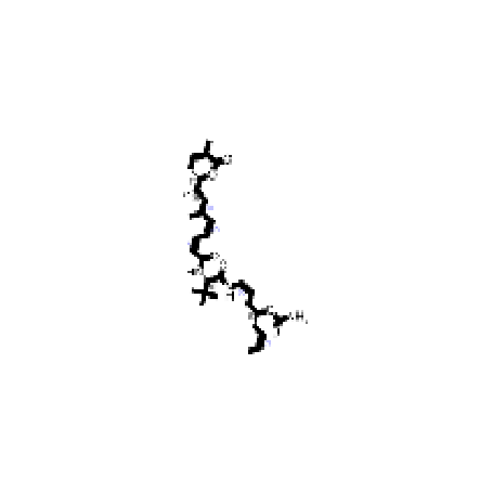 C/C=C\C[C@@H](C/C=C\NC(=O)[C@@H](NC(=O)\C=C/C=C\C(C)=C\[C@H](C)[C@@H]1CC=C(C)C(=O)O1)C(C)(C)C)OC(N)=O